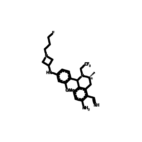 COc1cc(NC2CN(CCCF)C2)ccc1C1c2ccc(N)c(C=N)c2C[C@@H](C)N1CC(F)(F)F